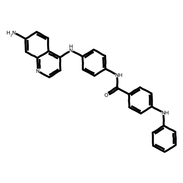 Nc1ccc2c(Nc3ccc(NC(=O)c4ccc(Nc5ccccc5)cc4)cc3)ccnc2c1